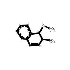 O=[N+]([O-])OC1c2ccccc2C=CC1[N+](=O)[O-]